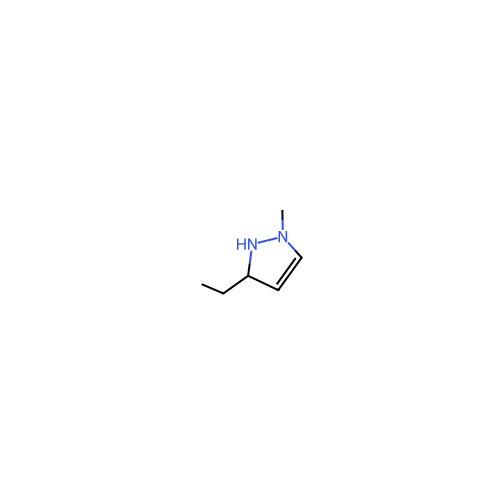 CCC1C=CN(C)N1